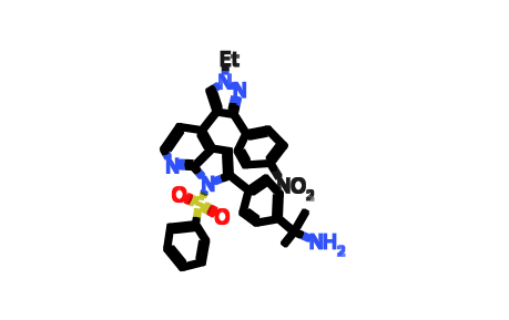 CCn1cc(-c2ccnc3c2cc(-c2ccc(C(C)(C)N)cc2)n3S(=O)(=O)c2ccccc2)c(-c2ccc([N+](=O)[O-])cc2)n1